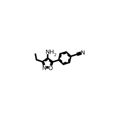 CCc1noc(-c2ccc(C#N)cc2)c1N